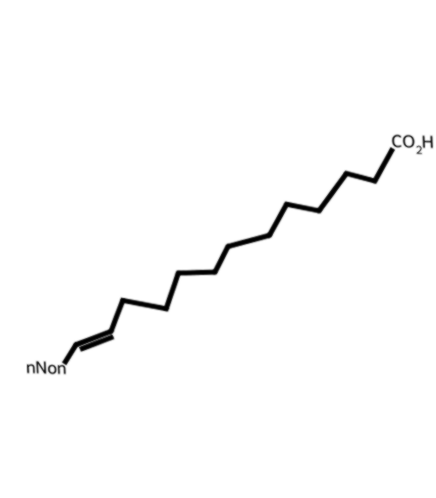 CCCCCCCCC/C=C/CCCCCCCCCCC(=O)O